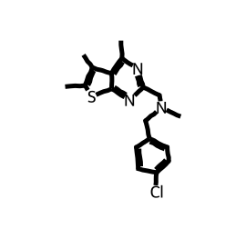 Cc1sc2nc(CN(C)Cc3ccc(Cl)cc3)nc(C)c2c1C